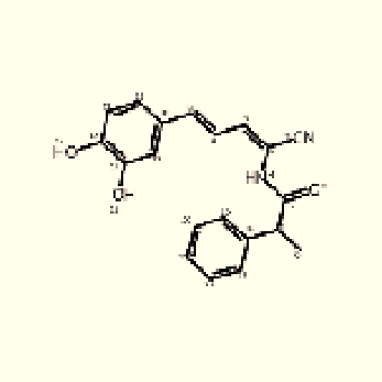 CC(C(=O)NC(C#N)=CC=Cc1ccc(O)c(O)c1)c1ccccc1